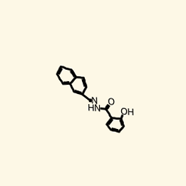 O=C(N/N=C/c1ccc2ccccc2c1)c1ccccc1O